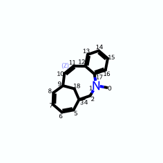 CN1CC2(C)C=CC=CC(/C=C\c3ccccc31)C2